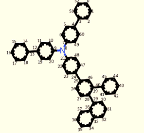 c1ccc(-c2ccc(N(c3ccc(-c4ccccc4)cc3)c3ccc(-c4ccc(-c5cccc6ccccc56)c(-c5ccccc5)c4)cc3)cc2)cc1